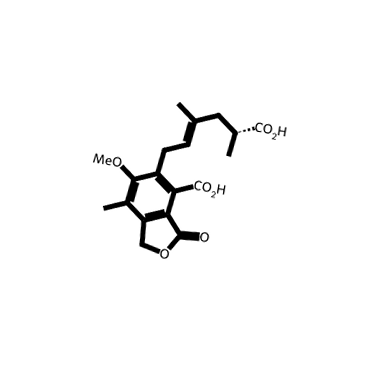 COc1c(C)c2c(c(C(=O)O)c1C/C=C(\C)C[C@@H](C)C(=O)O)C(=O)OC2